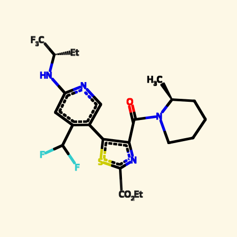 CCOC(=O)c1nc(C(=O)N2CCCC[C@@H]2C)c(-c2cnc(N[C@@H](CC)C(F)(F)F)cc2C(F)F)s1